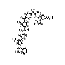 Cn1c(-c2cn(-c3n[nH]c4ccccc34)nc2C(F)(F)F)cnc1C(=O)Nc1ccc(C(=O)N2CCN(C(=O)C3CC[N+](CC(=O)O)(CC4CNC4)CC3)CC2)c(Cl)c1